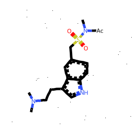 CC(=O)N(C)S(=O)(=O)Cc1ccc2[nH]cc(CCN(C)C)c2c1